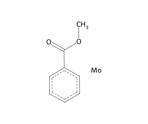 COC(=O)c1ccccc1.[Mo]